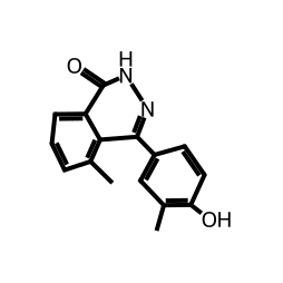 Cc1cc(-c2n[nH]c(=O)c3cccc(C)c23)ccc1O